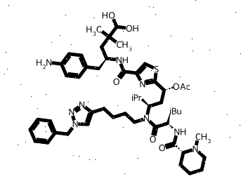 CC[C@H](C)[C@H](NC(=O)[C@H]1CCCCN1C)C(=O)N(CCCCc1cn(Cc2ccccc2)nn1)[C@H](C[C@@H](OC(C)=O)c1nc(C(=O)N[C@@H](Cc2ccc(N)cc2)CC(C)(C)C(O)O)cs1)C(C)C